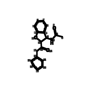 CC(=O)NC1c2ccccc2OC1C(=O)Cc1ccccc1